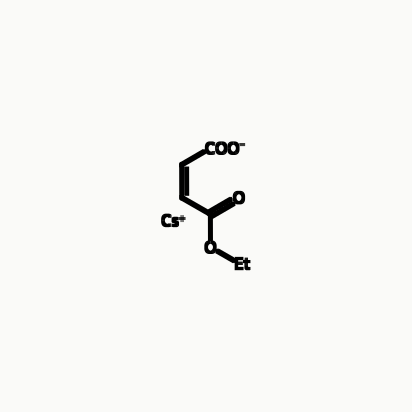 CCOC(=O)/C=C\C(=O)[O-].[Cs+]